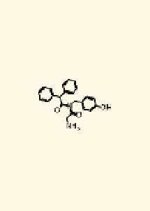 NCC(=O)N(Cc1ccc(O)cc1)C(=O)C(c1ccccc1)c1ccccc1